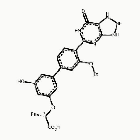 CCOc1cc(-c2cc(O)cc(O[C@@H](CC)C(=O)O)c2)ccc1-c1nc2c(c(=O)[nH]1)NNN2